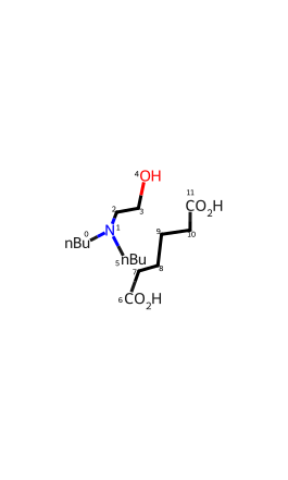 CCCCN(CCO)CCCC.O=C(O)CCCCC(=O)O